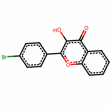 O=c1c(O)c(-c2ccc(Br)cc2)oc2ccccc12